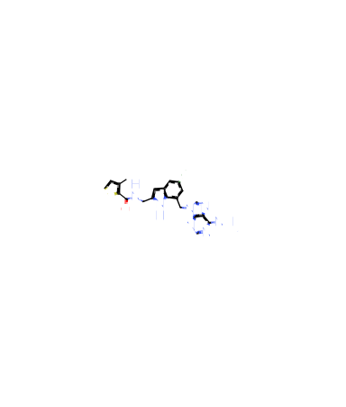 Cc1ccsc1C(=O)NCc1cc2cc(Cl)cc(Cn3cnc4c(N)ncnc43)c2[nH]1